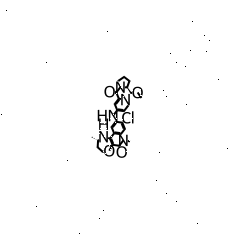 COC[C@@H]1CCCN1C(=O)c1cc(Nc2ccc3c(c2)c2c(c(=O)n3C)OCC[C@H](C)N2)c(Cl)cn1